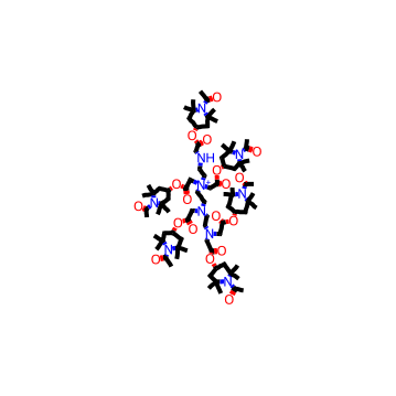 CC(=O)N1C(C)(C)CC(OC(=O)CNCC[N+](CCN(CCN(CC(=O)OC2CC(C)(C)N(C(C)=O)C(C)(C)C2)CC(=O)OC2CC(C)(C)N(C(C)=O)C(C)(C)C2)CC(=O)OC2CC(C)(C)N(C(C)=O)C(C)(C)C2)(CC(=O)OC2CC(C)(C)N(C(C)=O)C(C)(C)C2)CC(=O)OC2CC(C)(C)N(C(C)=O)C(C)(C)C2)CC1(C)C